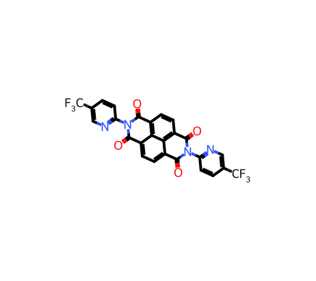 O=C1c2ccc3c4c(ccc(c24)C(=O)N1c1ccc(C(F)(F)F)cn1)C(=O)N(c1ccc(C(F)(F)F)cn1)C3=O